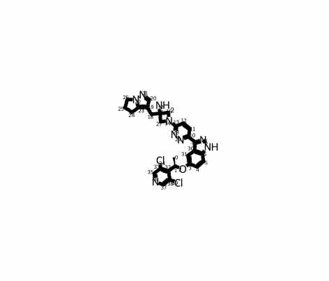 C[C@@H](Oc1ccc2[nH]nc(-c3ccc(N4CC(N)(Cc5cnn6c5CCC6)C4)nn3)c2c1)c1c(Cl)cncc1Cl